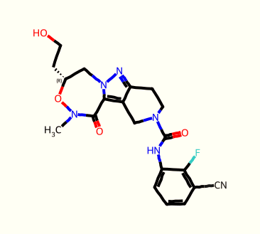 CN1O[C@H](CCO)Cn2nc3c(c2C1=O)CN(C(=O)Nc1cccc(C#N)c1F)CC3